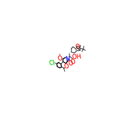 COc1cn(C(C[C@H]2CC[C@H](O[Si](C)(C)C(C)(C)C)CC2)C(=O)O)c(=O)cc1-c1cc(Cl)ccc1C(C)=O